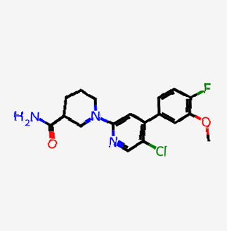 COc1cc(-c2cc(N3CCCC(C(N)=O)C3)ncc2Cl)ccc1F